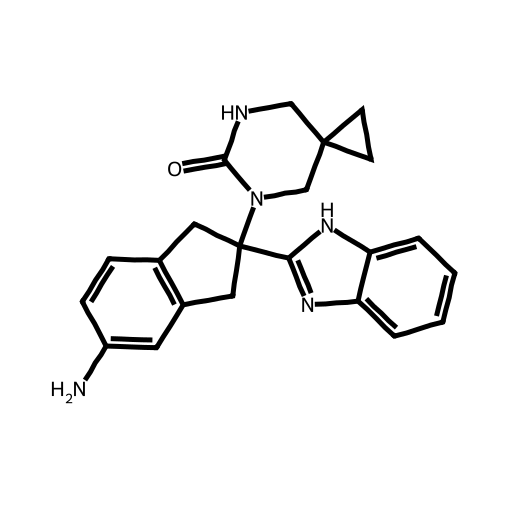 Nc1ccc2c(c1)CC(c1nc3ccccc3[nH]1)(N1CC3(CC3)CNC1=O)C2